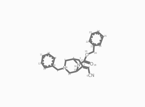 N#CC=C1CC2CN(Cc3ccccc3)CC1N2C(=O)OCc1ccccc1